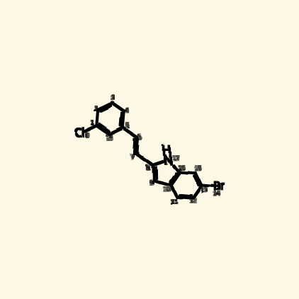 Clc1cccc(C=Cc2cc3ccc(Br)cc3[nH]2)c1